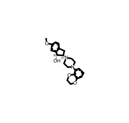 COc1ccc2c(c1)[C@@H](O)[C@@H](N1CCN(c3cccc4c3OCCO4)CC1)C2